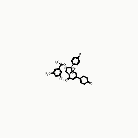 C[C@@H](O[C@H]1CN2C(=O)C=C(C3=CCC(=O)CC3)C[C@H]2[C@@H]1c1ccc(F)cc1)c1cc(C(F)(F)F)cc(C(F)(F)F)c1